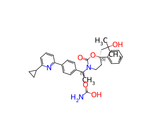 C[C@@H](c1ccc(-c2cccc(C3CC3)n2)cc1)N1CC[C@](CC(C)(C)O)(c2ccccc2)OC1=O.NC(=O)O